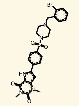 Cn1c(=O)c2[nH]c(-c3ccc(S(=O)(=O)N4CCN(Cc5ccccc5Br)CC4)cc3)cc2n(C)c1=O